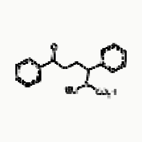 CC(C)(C)N(C(=O)O)C(CCC(=O)c1ccccc1)c1ccccc1